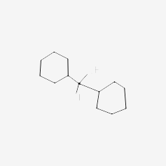 FC(F)(F)C(C1CCCCC1)(C1CCCCC1)C(F)(F)F